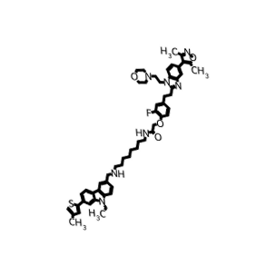 CCn1c2ccc(CNCCCCCCCCNC(=O)COc3ccc(CCc4nc5cc(-c6c(C)noc6C)ccc5n4CCN4CCOCC4)cc3F)cc2c2ccc(-c3cc(C)cs3)cc21